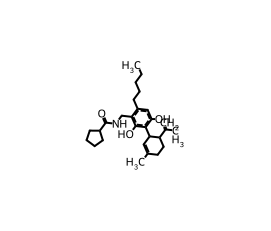 C=C(C)C1CCC(C)=CC1c1c(O)cc(CCCCC)c(CNC(=O)C2CCCC2)c1O